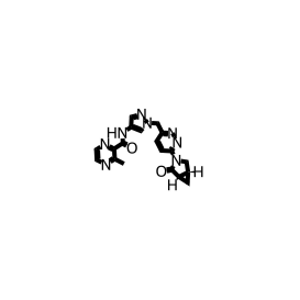 Cc1nccnc1C(=O)Nc1cnn(Cc2ccc(N3C[C@H]4C[C@H]4C3=O)nn2)c1